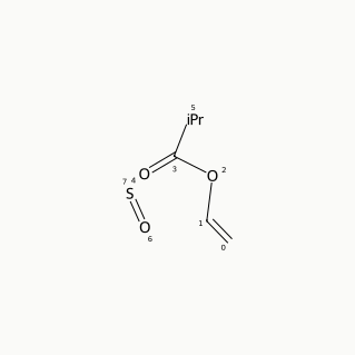 C=COC(=O)C(C)C.O=S